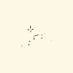 C[Si](C)(C)O[Si](O[Si](C)(C)C)O[Si](C)(C)C